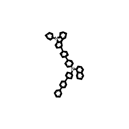 c1ccc(-c2ccc(-c3ccc(N(c4ccc(-c5ccc(-c6ccc7c(c6)c6ccccc6n7-c6ccccc6)cc5)cc4)c4cccc5ccccc45)cc3)cc2)cc1